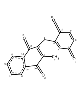 CC1=C(CC2=CC(=O)C=CC2=O)C(=O)c2ccccc2C1=O